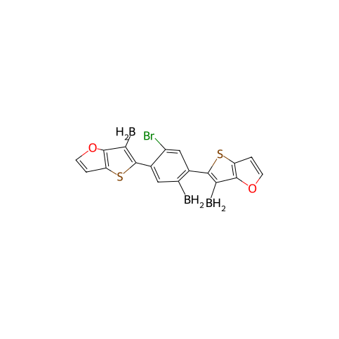 Bc1cc(-c2sc3ccoc3c2B)c(Br)cc1-c1sc2ccoc2c1B